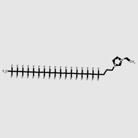 C=C[n+]1ccn(CCCC(F)(F)C(F)(F)C(F)(F)C(F)(F)C(F)(F)C(F)(F)C(F)(F)C(F)(F)C(F)(F)C(F)(F)C(F)(F)C(F)(F)C(F)(F)C(F)(F)C(F)(F)C(F)(F)C(F)(F)C(F)(F)F)c1